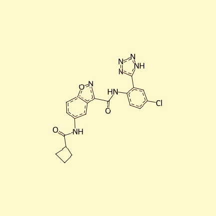 O=C(Nc1ccc(Cl)cc1-c1nnn[nH]1)c1noc2ccc(NC(=O)C3CCC3)cc12